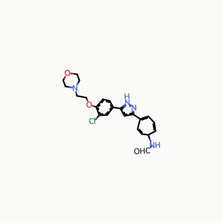 O=CNC1C=CC=C(c2cc(-c3ccc(OCCN4CCOCC4)c(Cl)c3)[nH]n2)C=C1